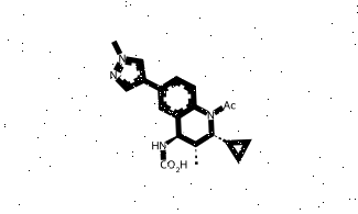 CC(=O)N1c2ccc(-c3cnn(C)c3)cc2[C@H](NC(=O)O)[C@@H](C)[C@H]1C1CC1